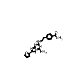 NC(=O)c1ccc(CCNc2nc(N)n3nc(-c4ccco4)nc3n2)cc1